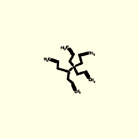 C=CCN(CC=C)[Si](CC=C)(CC=C)CC=C